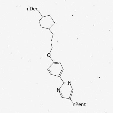 CCCCCCCCCCC1CCC(CCCOc2ccc(-c3ncc(CCCCC)cn3)cc2)CC1